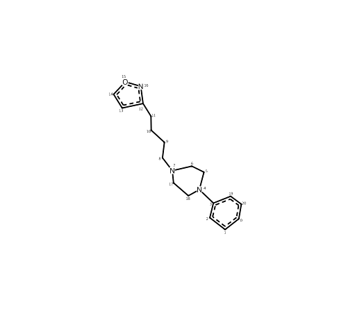 c1ccc(N2CCN(CCCCc3ccon3)CC2)cc1